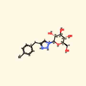 CCc1ccc(Cc2cn([C@@H]3O[C@H](CO)[C@@H](O)[C@H](O)[C@H]3O)nn2)cc1